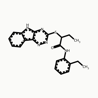 CCc1ccccc1NC(=O)C(CC)Sc1nnc2c(n1)[nH]c1ccccc12